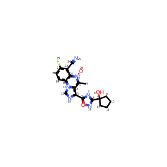 Cc1c2c(-c3nc(C4(O)CCCC4)no3)ncn2c2ccc(F)c(C#N)c2[n+]1[O-]